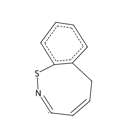 [C]1=N\Sc2ccccc2C\C=C/1